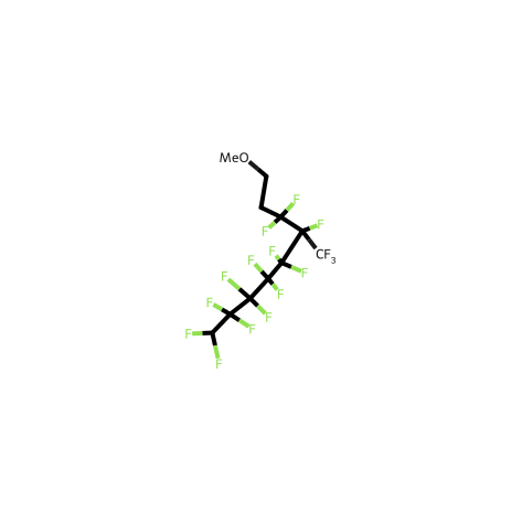 COCCC(F)(F)C(F)(C(F)(F)F)C(F)(F)C(F)(F)C(F)(F)C(F)(F)C(F)F